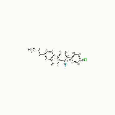 CCCc1ccc2c(c1)CCc1c-2ccc(-c2ccc(Cl)cc2)c1F